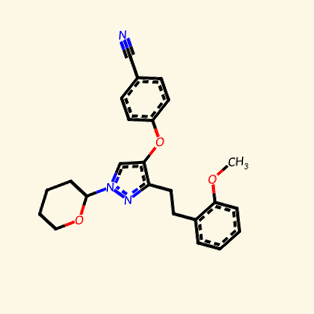 COc1ccccc1CCc1nn(C2CCCCO2)cc1Oc1ccc(C#N)cc1